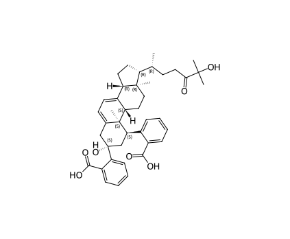 C[C@H](CCC(=O)C(C)(C)O)[C@H]1CC[C@H]2C3=CC=C4C[C@](O)(c5ccccc5C(=O)O)C[C@H](c5ccccc5C(=O)O)[C@]4(C)[C@H]3CC[C@]12C